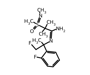 CN=S(C)(=O)C(C)(C)/C(N)=N\C(C)(CF)c1ccccc1F